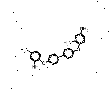 Nc1ccc(Oc2ccc(-c3ccc(Oc4ccc(N)cc4N)cc3)cc2)c(N)c1